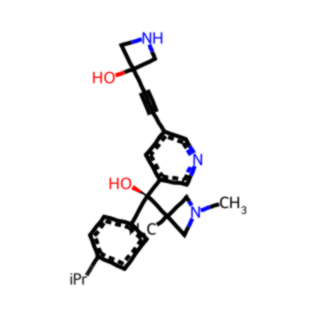 CC(C)c1ccc([C@](O)(c2cncc(C#CC3(O)CNC3)c2)C2(C)CN(C)C2)cc1